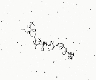 CCCN(CC(C)c1nc(C)c(C(=O)Nc2nc(-c3ccc(CC(=O)NO)s3)cs2)s1)C(=O)OC(C)(C)C